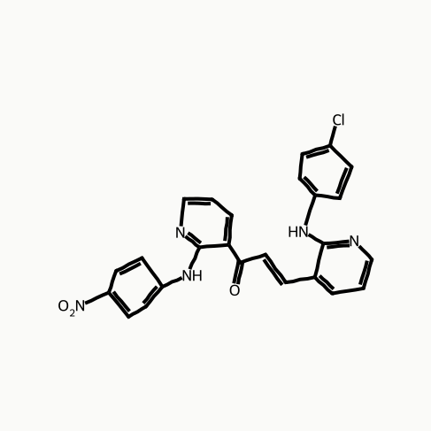 O=C(C=Cc1cccnc1Nc1ccc(Cl)cc1)c1cccnc1Nc1ccc([N+](=O)[O-])cc1